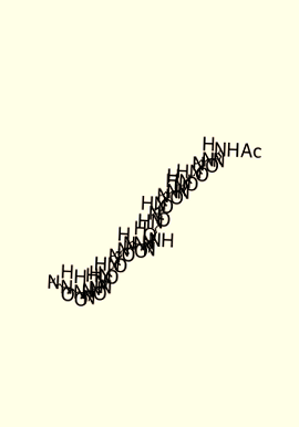 CC(=O)Nc1cc(C(=O)Nc2cc(C(=O)NCCC(=O)Nc3cn(C)c(C(=O)Nc4cc(C(=O)Nc5cc(C(=O)NCCCC(=O)Nc6cn(C)c(C(=O)Nc7cc(C(=O)Nc8cc(C(=O)NCCC(=O)Nc9cn(C)c(C(=O)Nc%10cn(C)c(C(=O)NCCC(=O)NCCCN(C)C)n%10)n9)n(C)c8)n(C)c7)n6)n(C)c5)n(C)c4)n3)n(C)c2)n(C)c1